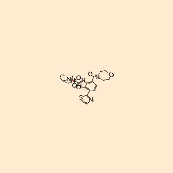 O=C(c1ccc(-c2nccs2)c2oc(N3CC4CCC(C3)N4C(=O)O)nc12)N1CCOCC1